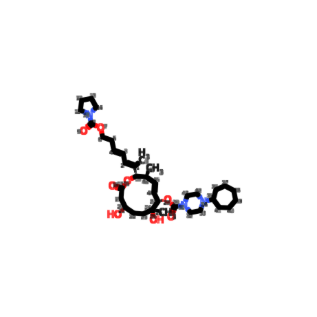 C/C(=C\C=C\CCOC(=O)N1CCCC1)[C@H]1OC(=O)C[C@H](O)CC[C@@](C)(O)[C@@H](OC(=O)N2CCN(C3CCCCCC3)CC2)/C=C/[C@@H]1C